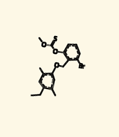 CCc1cc(C)c(OCc2c(Br)cccc2OC(=S)OC)cc1C